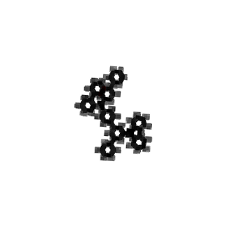 c1ccc(-c2ccc(N(c3ccc(-c4cc(-c5ccccc5)cc(-n5c6ccccc6c6ccccc65)c4)cc3)c3ccccc3-c3ccccc3)cc2)cc1